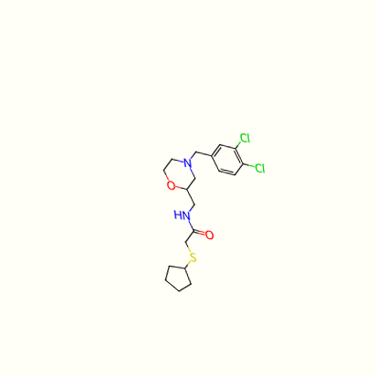 O=C(CSC1CCCC1)NCC1CN(Cc2ccc(Cl)c(Cl)c2)CCO1